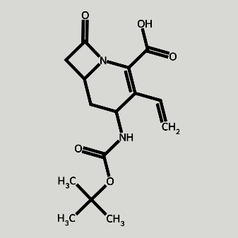 C=CC1=C(C(=O)O)N2C(=O)CC2CC1NC(=O)OC(C)(C)C